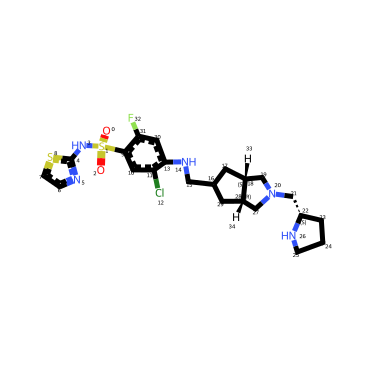 O=S(=O)(Nc1nccs1)c1cc(Cl)c(NCC2C[C@@H]3CN(C[C@@H]4CCCN4)C[C@@H]3C2)cc1F